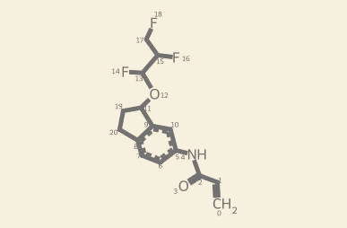 C=CC(=O)Nc1ccc2c(c1)C(OC(F)C(F)CF)CC2